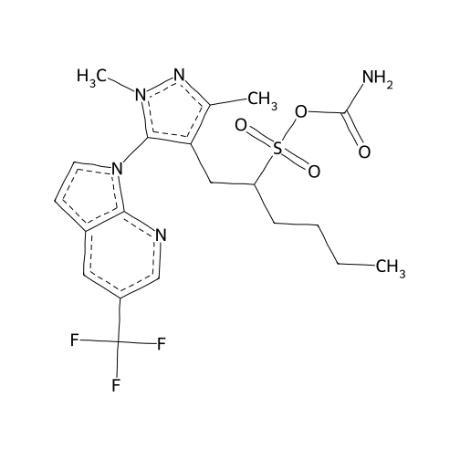 CCCCC(Cc1c(C)nn(C)c1-n1ccc2cc(C(F)(F)F)cnc21)S(=O)(=O)OC(N)=O